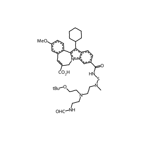 COc1ccc2c(c1)C=C(C(=O)O)Cn1c-2c(C2CCCCC2)c2ccc(C(=O)NSN(C)CCN(CCNC=O)CCOC(C)(C)C)cc21